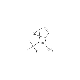 CC1=C(C(F)(F)F)C23OC2C=CC13